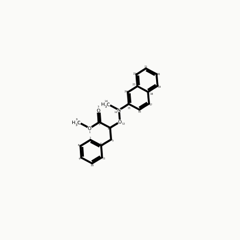 COC(=O)C(Cc1ccccc1)ON(C)c1ccc2ccccc2c1